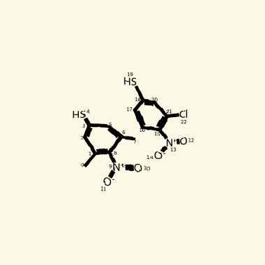 Cc1cc(S)cc(C)c1[N+](=O)[O-].O=[N+]([O-])c1ccc(S)cc1Cl